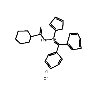 O=C([NH][Ti+2]([C]1=CC=CC1)=[C](c1ccccc1)c1ccccc1)C1CCCCC1.[Cl-].[Cl-]